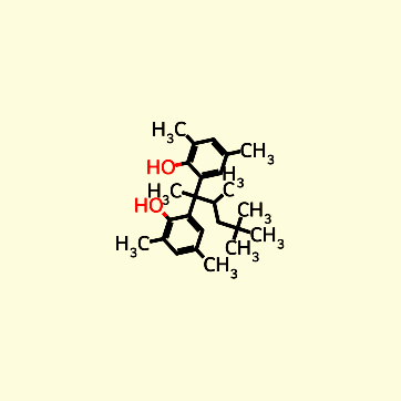 Cc1cc(C)c(O)c(C(C)(c2cc(C)cc(C)c2O)C(C)CC(C)(C)C)c1